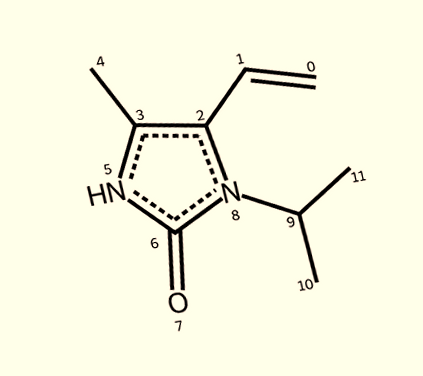 C=Cc1c(C)[nH]c(=O)n1C(C)C